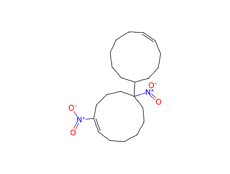 O=[N+]([O-])C1=CCCCCCC(C2CCCC=CCCCCC2)([N+](=O)[O-])CCC1